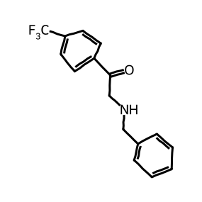 O=C(CNCc1ccccc1)c1ccc(C(F)(F)F)cc1